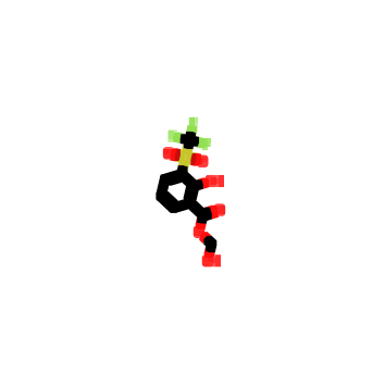 O=C(OCO)c1cccc(S(=O)(=O)C(F)(F)F)c1O